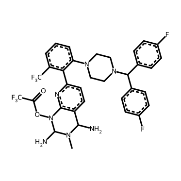 CN1C(N)c2ccc(-c3c(N4CCN(C(c5ccc(F)cc5)c5ccc(F)cc5)CC4)cccc3C(F)(F)F)nc2N(OC(=O)C(F)(F)F)C1N